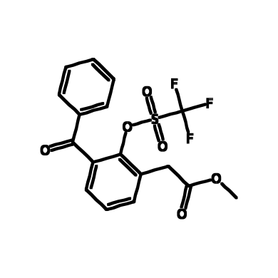 COC(=O)Cc1cccc(C(=O)c2ccccc2)c1OS(=O)(=O)C(F)(F)F